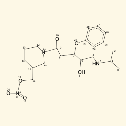 CC(C)NCC(O)C(CC(=O)N1CCCC(CO[N+](=O)[O-])C1)Oc1ccccc1